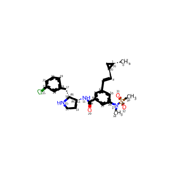 C[C@H]1C[C@@H]1C=Cc1cc(C(=O)N[C@@H]2CCN[C@@H]2Cc2cccc(Cl)c2)cc(N(C)S(C)(=O)=O)c1